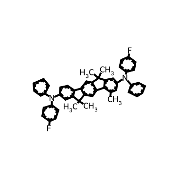 Cc1cc(N(c2ccccc2)c2ccc(F)cc2)cc2c1-c1cc3c(cc1C2(C)C)-c1ccc(N(c2ccccc2)c2ccc(F)cc2)cc1C3(C)C